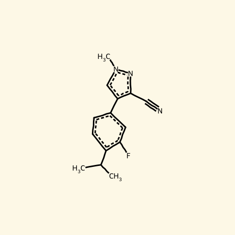 CC(C)c1ccc(-c2cn(C)nc2C#N)cc1F